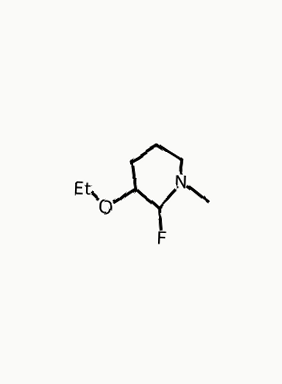 CCOC1CCCN(C)C1F